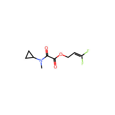 CN(C(=O)C(=O)OCC=C(F)F)C1CC1